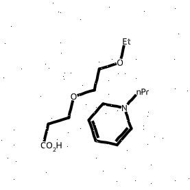 CCCN1C=CC=CC1.CCOCCOCCC(=O)O